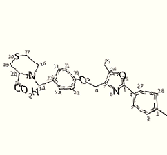 Cc1ccc(-c2nc(COc3ccc(CN4CCSCC4C(=O)O)cc3)c(C)o2)cc1